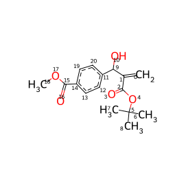 C=C(C(=O)OC(C)(C)C)C(O)c1ccc(C(=O)OC)cc1